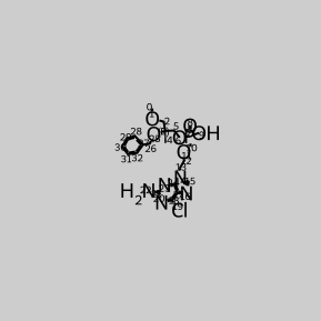 COC[C@](C)(COP(=O)(O)COCCn1cnc2c(Cl)nc(N)nc21)OCc1ccccc1